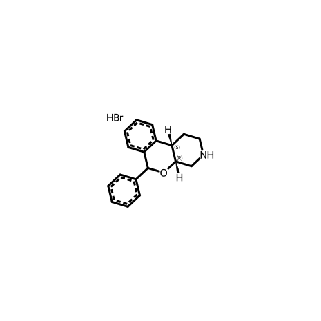 Br.c1ccc(C2O[C@H]3CNCC[C@H]3c3ccccc32)cc1